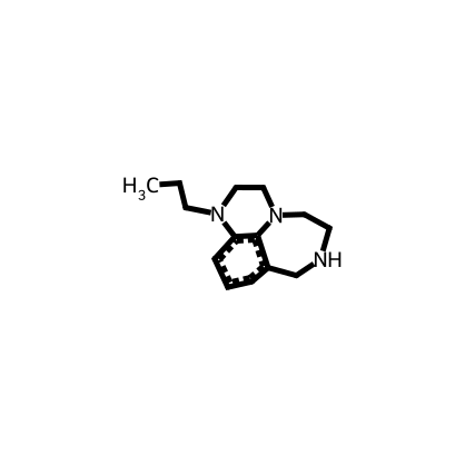 CCCN1CCN2CCNCc3cccc1c32